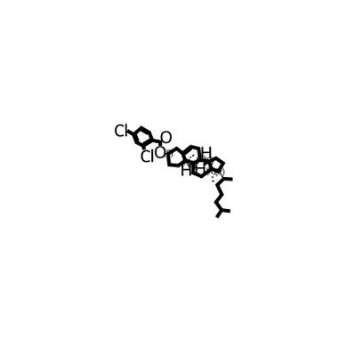 CC(C)CCCC(C)[C@H]1CC[C@H]2[C@@H]3CC=C4C[C@@H](OC(=O)c5ccc(Cl)cc5Cl)CC[C@]4(C)[C@H]3CC[C@]12C